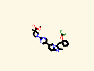 COC(=O)C1(C)CCN(c2ncc(-c3ccc4nc(C)c(Cc5ccccc5OC(F)F)n4c3)cn2)C1